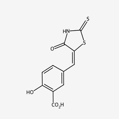 O=C1NC(=S)S/C1=C/c1ccc(O)c(C(=O)O)c1